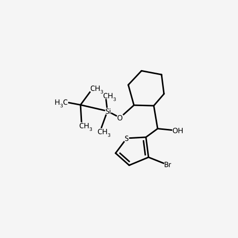 CC(C)(C)[Si](C)(C)OC1CCCCC1C(O)c1sccc1Br